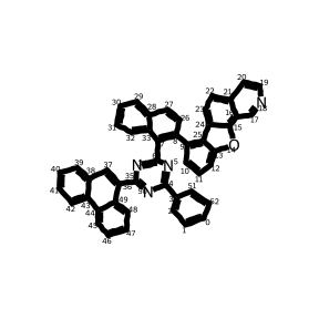 c1ccc(-c2nc(-c3c(-c4cccc5oc6c7cnccc7ccc6c45)ccc4ccccc34)nc(-c3cc4ccccc4c4ccccc34)n2)cc1